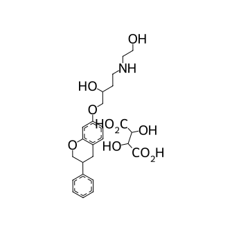 O=C(O)C(O)C(O)C(=O)O.OCCNCCC(O)COc1ccc2c(c1)OCC(c1ccccc1)C2